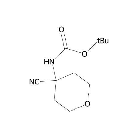 CC(C)(C)OC(=O)NC1(C#N)CCOCC1